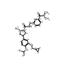 CC(=O)N1CC(c2ccc(OC(F)F)c(OCC3CC3)c2)C[C@@H]1C(=O)NCc1cccc(C(=O)N(C)C)n1